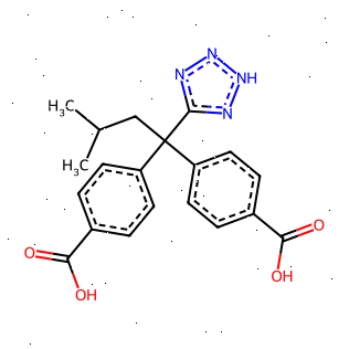 CC(C)CC(c1ccc(C(=O)O)cc1)(c1ccc(C(=O)O)cc1)c1nn[nH]n1